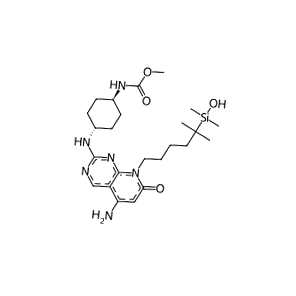 COC(=O)N[C@H]1CC[C@H](Nc2ncc3c(N)cc(=O)n(CCCCC(C)(C)[Si](C)(C)O)c3n2)CC1